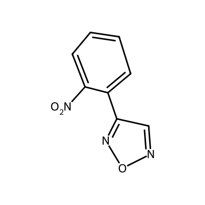 O=[N+]([O-])c1ccccc1-c1cnon1